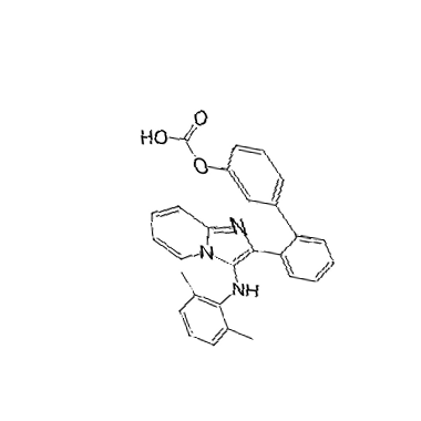 Cc1cccc(C)c1Nc1c(-c2ccccc2-c2cccc(OC(=O)O)c2)nc2ccccn12